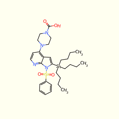 CCC[CH2][Sn]([CH2]CCC)([CH2]CCC)[c]1cc2c(N3CCN(C(=O)O)CC3)ccnc2n1S(=O)(=O)c1ccccc1